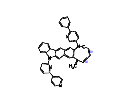 C=C1/C=C\C=C/CN(c2ccc(-c3ccccc3)nc2)c2cc3cc4c5ccccc5n(-c5cccc(-c6ccncc6)n5)c4cc3cc21